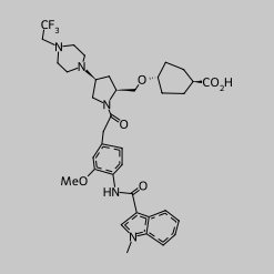 COc1cc(CC(=O)N2C[C@@H](N3CCN(CC(F)(F)F)CC3)C[C@H]2CO[C@H]2CC[C@H](C(=O)O)CC2)ccc1NC(=O)c1cn(C)c2ccccc12